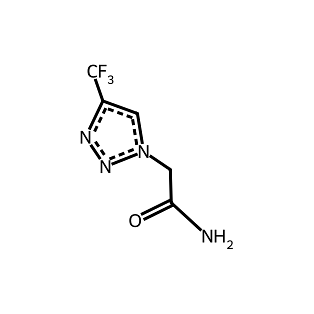 NC(=O)Cn1cc(C(F)(F)F)nn1